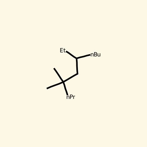 CCCCC(CC)CC(C)(C)CCC